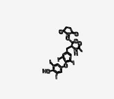 CC(=O)NC(Cc1cc(I)c(Oc2cc(I)c(O)c(I)c2)c(I)c1)C(=O)ON1C(=O)CCC1=O